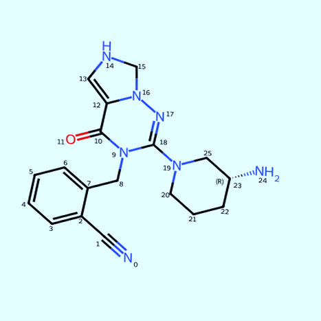 N#Cc1ccccc1CN1C(=O)C2=CNCN2N=C1N1CCC[C@@H](N)C1